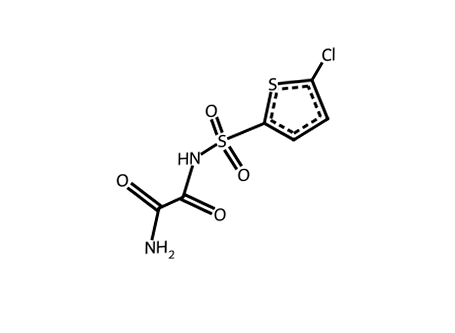 NC(=O)C(=O)NS(=O)(=O)c1ccc(Cl)s1